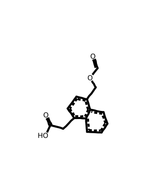 O=COCc1ccc(CC(=O)O)c2ccccc12